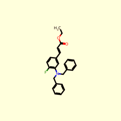 CCOC(=O)/C=C/c1ccc(F)c(N(Cc2ccccc2)Cc2ccccc2)c1